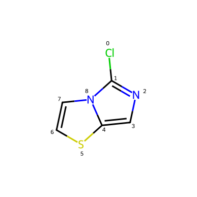 Clc1ncc2sccn12